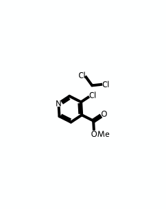 COC(=O)c1ccncc1Cl.ClCCl